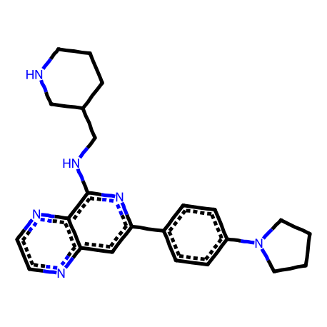 c1cnc2c(NCC3CCCNC3)nc(-c3ccc(N4CCCC4)cc3)cc2n1